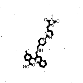 Cc1ccc(C(=O)O)c(-c2nc3ccccc3cc2CNCC2CCN(c3nccc(/C=C4\SC(=O)NC4=O)n3)CC2)c1